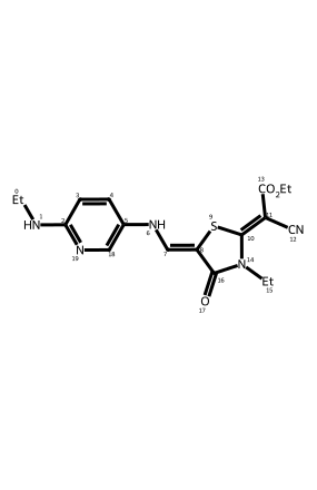 CCNc1ccc(NC=c2sc(=C(C#N)C(=O)OCC)n(CC)c2=O)cn1